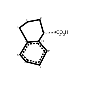 O=C(O)[C@H]1CCCc2ccccc21